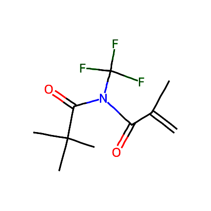 C=C(C)C(=O)N(C(=O)C(C)(C)C)C(F)(F)F